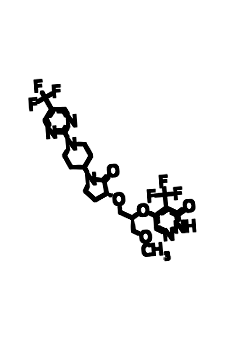 COC[C@@H](CO[C@@H]1CCN(C2CCN(c3ncc(C(F)(F)F)cn3)CC2)C1=O)Oc1cn[nH]c(=O)c1C(F)(F)F